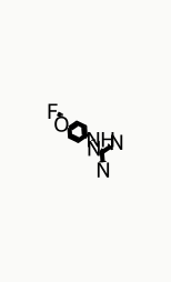 N#CC(C#N)=NNc1ccc(OCF)cc1